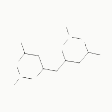 CCC1CC(CC2CC(C)OB(O)O2)OB(O)O1